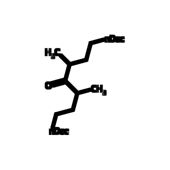 CCCCCCCCCCCCC(C)C(=O)C(C)CCCCCCCCCCCC